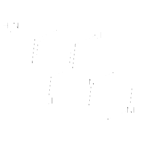 Nc1cc(Cl)c(N2CCNCC2)c(Cl)c1